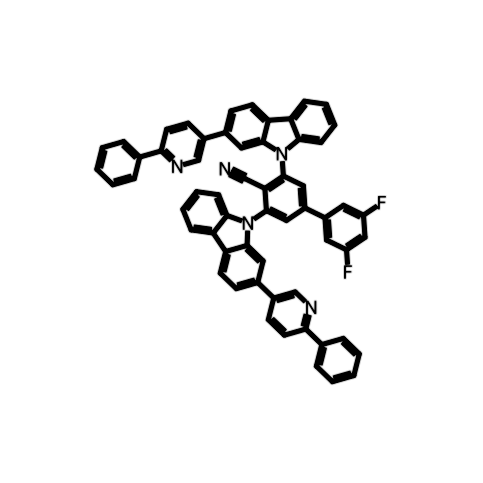 N#Cc1c(-n2c3ccccc3c3ccc(-c4ccc(-c5ccccc5)nc4)cc32)cc(-c2cc(F)cc(F)c2)cc1-n1c2ccccc2c2ccc(-c3ccc(-c4ccccc4)nc3)cc21